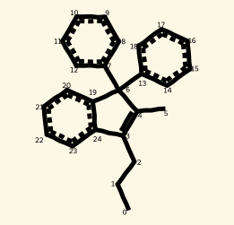 CCCC1=C(C)C(c2ccccc2)(c2ccccc2)c2ccccc21